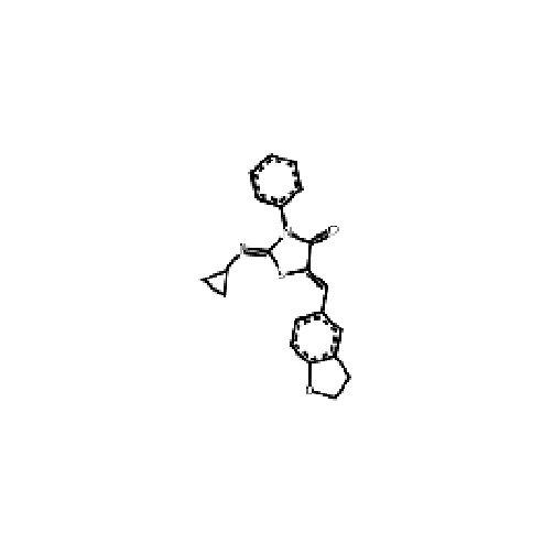 O=C1/C(=C/c2ccc3c(c2)CCO3)S/C(=N\C2CC2)N1c1ccccc1